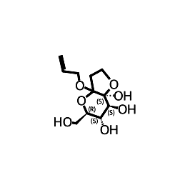 C=CCOC12CCO[C@@]1(O)[C@@H](O)[C@H](O)[C@@H](CO)O2